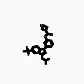 CC(C)Cc1cn(-c2cccc(OC(=O)C3CNC3)c2)c2ccc(C(F)(F)F)cc12